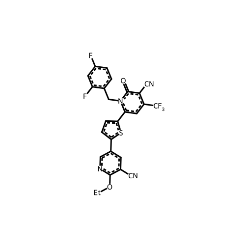 CCOc1ncc(-c2ccc(-c3cc(C(F)(F)F)c(C#N)c(=O)n3Cc3ccc(F)cc3F)s2)cc1C#N